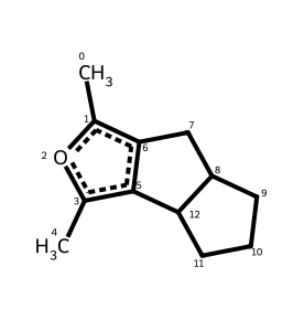 Cc1oc(C)c2c1CC1CCCC21